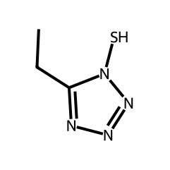 CCc1nnnn1S